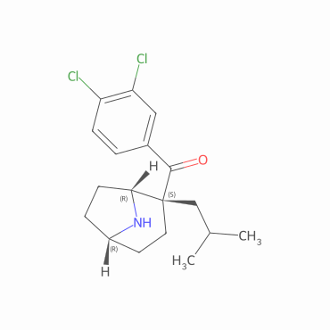 CC(C)C[C@@]1(C(=O)c2ccc(Cl)c(Cl)c2)CC[C@@H]2CC[C@H]1N2